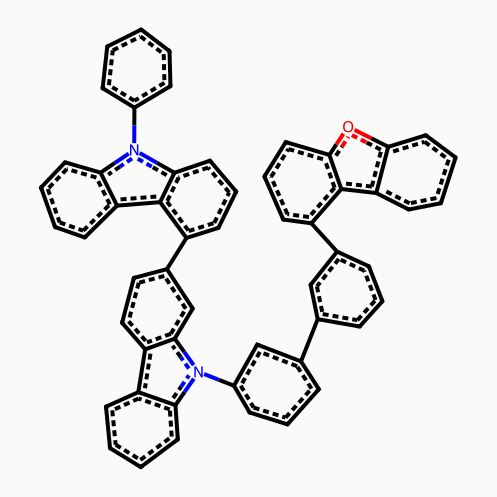 c1ccc(-n2c3ccccc3c3c(-c4ccc5c6ccccc6n(-c6cccc(-c7cccc(-c8cccc9oc%10ccccc%10c89)c7)c6)c5c4)cccc32)cc1